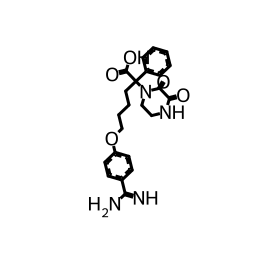 N=C(N)c1ccc(OCCCCC(C(=O)O)(c2ccccc2)N2CCNC(=O)C2=O)cc1